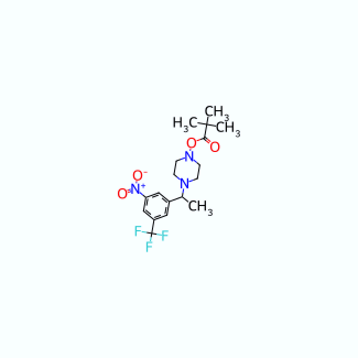 CC(c1cc([N+](=O)[O-])cc(C(F)(F)F)c1)N1CCN(OC(=O)C(C)(C)C)CC1